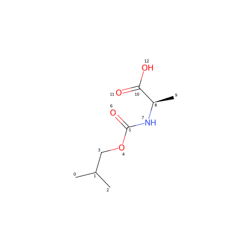 CC(C)COC(=O)N[C@H](C)C(=O)O